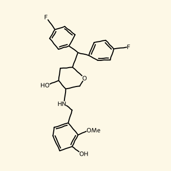 COc1c(O)cccc1CNC1COC(C(c2ccc(F)cc2)c2ccc(F)cc2)CC1O